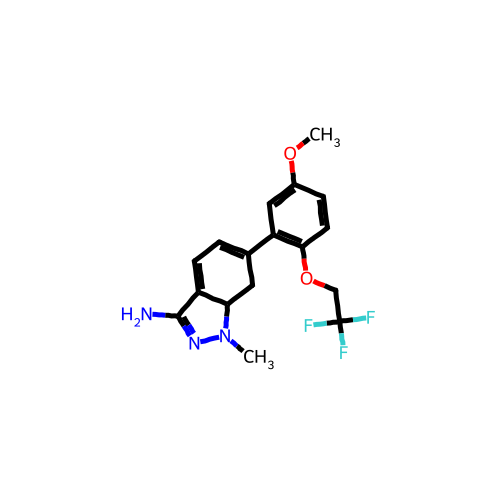 COc1ccc(OCC(F)(F)F)c(C2=CC=C3C(N)=NN(C)C3C2)c1